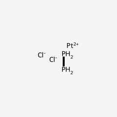 PP.[Cl-].[Cl-].[Pt+2]